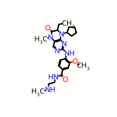 CCC1C(=O)N(C)c2cnc(Nc3ccc(C(=O)NCCNC)cc3OC)nc2N1C1CCCC1